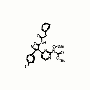 CC(C)(C)OC(=O)N(OC(C)(C)C)c1nccc(-c2c(-c3ccc(Cl)cc3)noc2NC(=O)Cc2ccccc2)n1